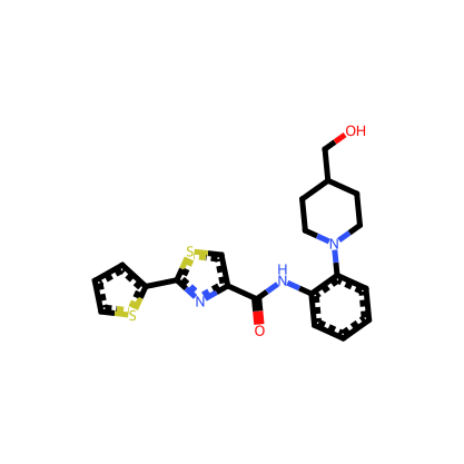 O=C(Nc1ccccc1N1CCC(CO)CC1)c1csc(-c2cccs2)n1